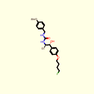 CC[C@@H](NC(=O)NCc1ccc(OC)cc1)[C@H](O)c1ccc(OCCCCF)cc1